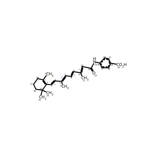 CC1=C(/C=C/C(C)=C/C=C/C(C)=C/C(=O)Nc2ccc(C(=O)O)cc2)C(C)(C)CCC1